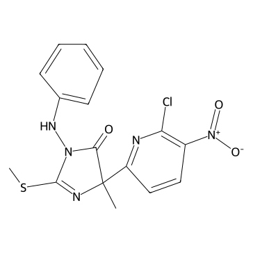 CSC1=NC(C)(c2ccc([N+](=O)[O-])c(Cl)n2)C(=O)N1Nc1ccccc1